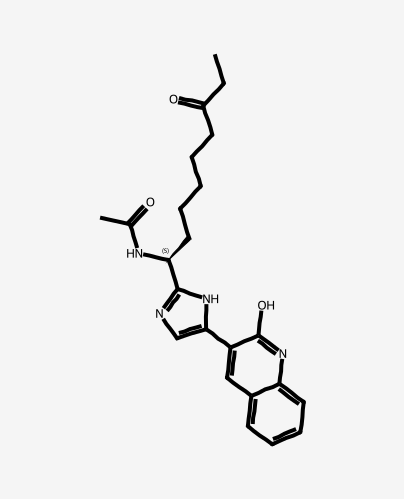 CCC(=O)CCCCC[C@H](NC(C)=O)c1ncc(-c2cc3ccccc3nc2O)[nH]1